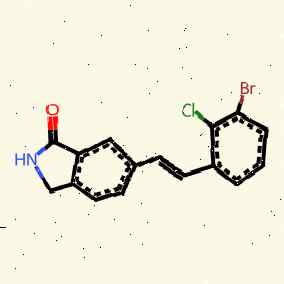 O=C1NCc2ccc(C=Cc3cccc(Br)c3Cl)cc21